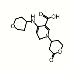 O=C1CC(N2C=C(C(=O)O)C(NC3CCOCC3)=CC2)CCO1